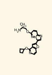 C[C@@H](N)COc1ccc2ncc(-c3cc4c(OC5CCC5)nccc4o3)n2n1